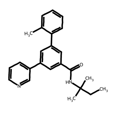 CCC(C)(C)NC(=O)c1cc(-c2cccnc2)cc(-c2ccccc2C)c1